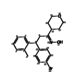 Cc1ccccc1C(CC(=NO)C1CCOCC1)c1ccc(Br)cc1